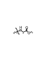 COC(=O)CNC(C)(C)I